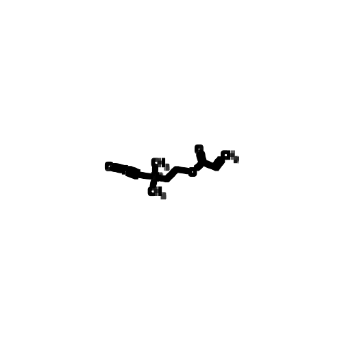 C=CC(=O)OCC[N+](C)(C)C#P=O